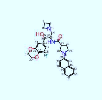 O=C(N[C@H](CN1CCC1)[C@H](O)c1cc(F)c2c(c1)OCCO2)C1CCN(c2ccc3ccccc3c2)C1